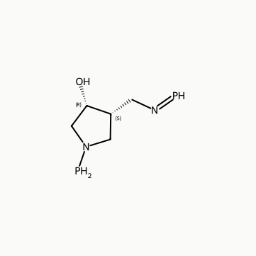 O[C@H]1CN(P)C[C@H]1CN=P